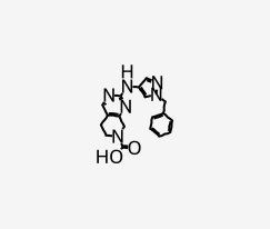 O=C(O)N1CCc2cnc(Nc3cnn(Cc4ccccc4)c3)nc2C1